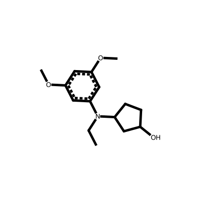 CCN(c1cc(OC)cc(OC)c1)C1CCC(O)C1